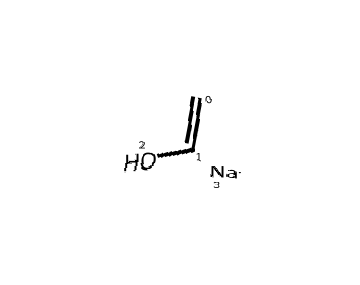 C=CO.[Na]